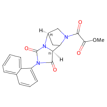 COC(=O)C(=O)N1C[C@H]2CC1[C@H]1C(=O)N(c3cccc4ccccc34)C(=O)N21